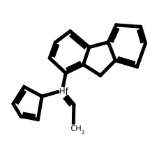 C[CH]=[Hf]([c]1cccc2c1Cc1ccccc1-2)[CH]1C=CC=C1